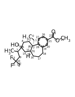 CC[C@@]12CC[C@](O)(C(C)CC(F)(F)F)C[C@@H]1CCCc1cc(C(=O)OC)ccc12